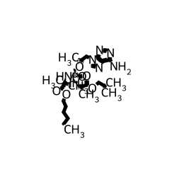 CCCCCCOC(=O)C(C)(C)N[P@@](=O)(CO[C@H](C)Cn1cnc2c(N)ncnc21)N[C@H](C)C(=O)OCC(C)C